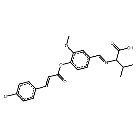 COc1cc(/C=N/C(C(=O)O)C(C)C)ccc1OC(=O)/C=C/c1ccc(Cl)cc1